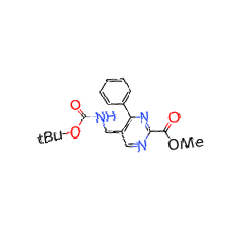 COC(=O)c1ncc(CNC(=O)OC(C)(C)C)c(-c2ccccc2)n1